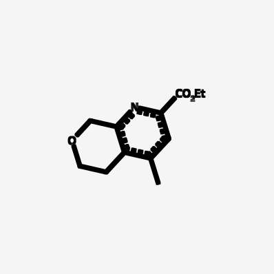 CCOC(=O)c1cc(C)c2c(n1)COCC2